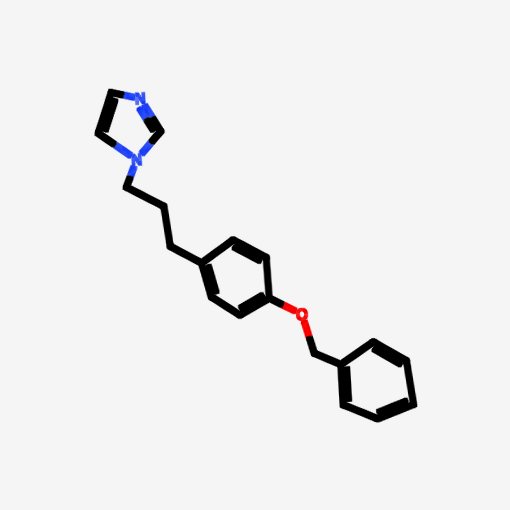 c1ccc(COc2ccc(CCCn3ccnc3)cc2)cc1